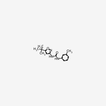 Cc1cccc(NC(=O)Nc2cc(C(C)(C)C)on2)c1